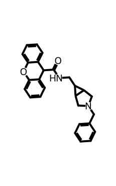 O=C(NCC1C2CN(Cc3ccccc3)CC12)C1c2ccccc2Oc2ccccc21